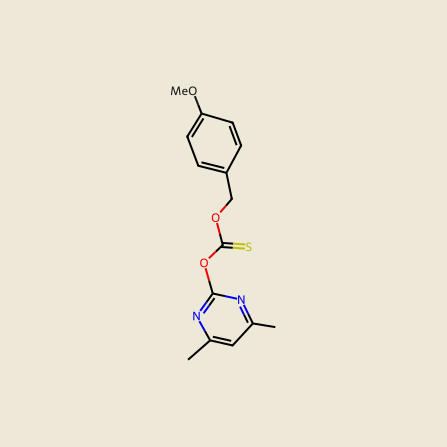 COc1ccc(COC(=S)Oc2nc(C)cc(C)n2)cc1